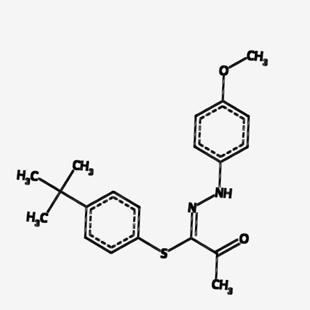 COc1ccc(N/N=C(/Sc2ccc(C(C)(C)C)cc2)C(C)=O)cc1